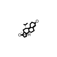 CC(C)[C@H]1C[C@]2(C)C(=O)CC[C@H]2[C@@H]2CCC3=CC(=O)CCC3=C21